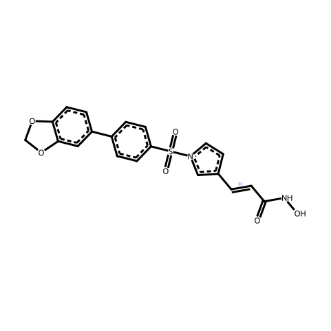 O=C(/C=C/c1ccn(S(=O)(=O)c2ccc(-c3ccc4c(c3)OCO4)cc2)c1)NO